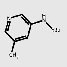 Cc1cncc(NC(C)(C)C)c1